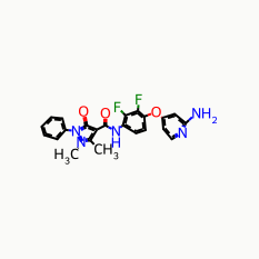 Cc1c(C(=O)Nc2ccc(Oc3ccnc(N)c3)c(F)c2F)c(=O)n(-c2ccccc2)n1C